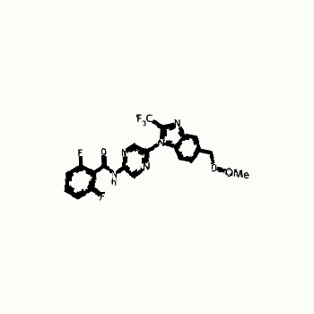 COOCc1ccc2c(c1)nc(C(F)(F)F)n2-c1cnc(NC(=O)c2c(F)cccc2F)cn1